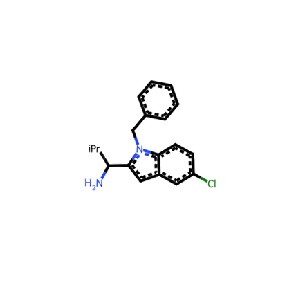 CC(C)C(N)c1cc2cc(Cl)ccc2n1Cc1ccccc1